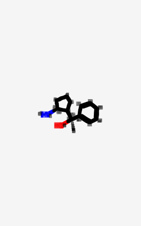 CN[C@H]1CCCC1[C@](C)(O)c1ccccc1